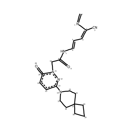 C=N/C(C#N)=C\C=C\NC(=O)Cn1nc(N2CCC3(CCC3)CC2)ccc1=O